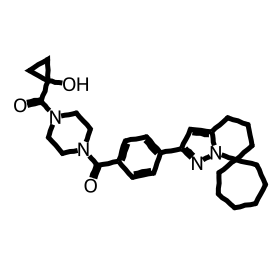 O=C(c1ccc(-c2cc3n(n2)C2(CCCCCC2)CCC3)cc1)N1CCN(C(=O)C2(O)CC2)CC1